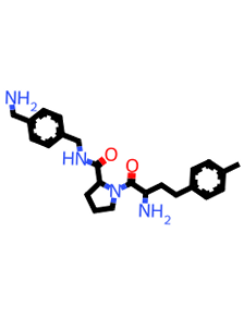 Cc1ccc(CCC(N)C(=O)N2CCCC2C(=O)NCc2ccc(CN)cc2)cc1